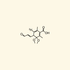 [2H]C1=C(C)C(C(=O)O)=C(C)C(OC)(OC)C1C=CC=O